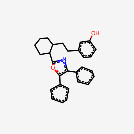 Oc1cccc(CCC2CCCCC2c2nc(-c3ccccc3)c(-c3ccccc3)o2)c1